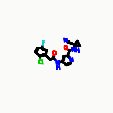 N#CC1(NC(=O)c2cc(NC(=O)Cc3cc(F)ccc3Cl)ccn2)CC1